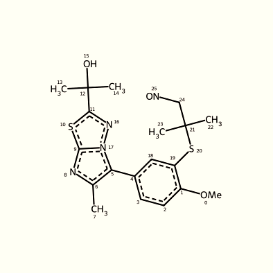 COc1ccc(-c2c(C)nc3sc(C(C)(C)O)nn23)cc1SC(C)(C)CN=O